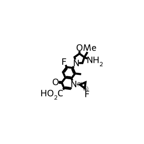 COC1CN(c2c(F)cc3c(=O)c(C(=O)O)cn([C@@H]4C[C@@H]4F)c3c2C)CC1(C)N